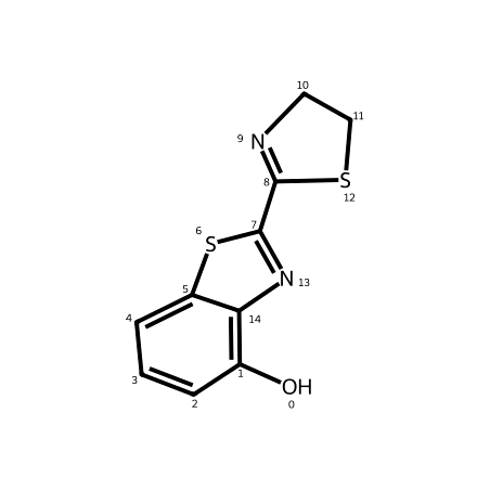 Oc1cccc2sc(C3=NCCS3)nc12